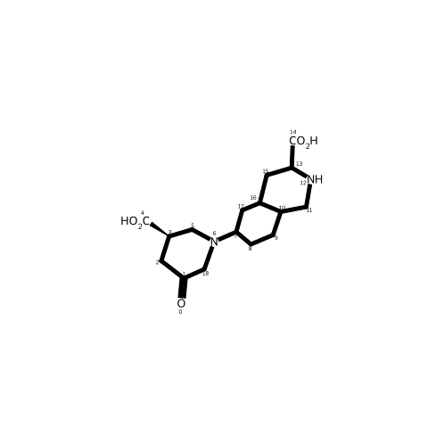 O=C1C[C@@H](C(=O)O)CN(C2CCC3CNC(C(=O)O)CC3C2)C1